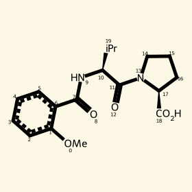 COc1ccccc1C(=O)N[C@H](C(=O)N1CCC[C@H]1C(=O)O)C(C)C